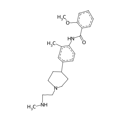 CNCCN1CCC(c2ccc(NC(=O)c3ccccc3OC)c(C)c2)CC1